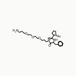 CC(=O)N1CCCC1C(=O)NC(Cc1ccccc1)C(=O)NCCCOCCOCCOCCCN